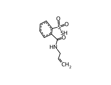 C=CCNC(=O)c1ccccc1S(=O)(=O)S